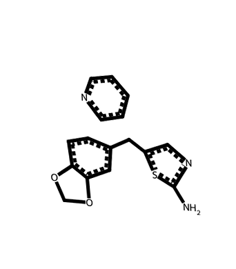 Nc1ncc(Cc2ccc3c(c2)OCO3)s1.c1ccncc1